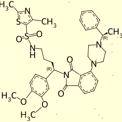 COc1ccc([C@@H](CCCNS(=O)(=O)c2sc(C)nc2C)N2C(=O)c3cccc(N4CCN([C@H](C)c5ccccc5)CC4)c3C2=O)cc1OC